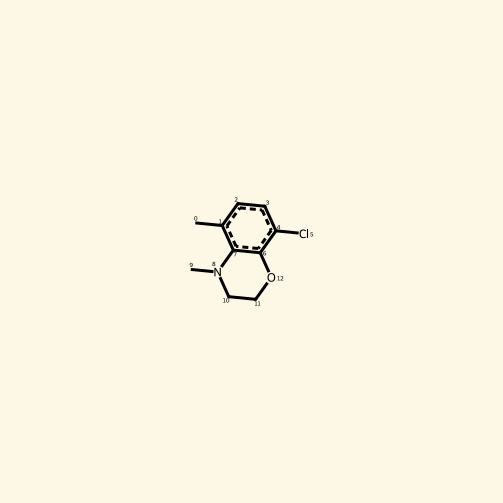 Cc1ccc(Cl)c2c1N(C)CCO2